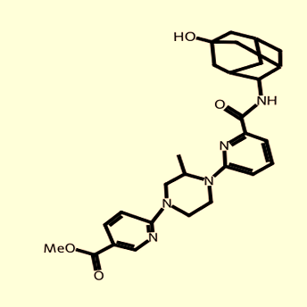 COC(=O)c1ccc(N2CCN(c3cccc(C(=O)NC4C5CC6CC4CC(O)(C6)C5)n3)C(C)C2)nc1